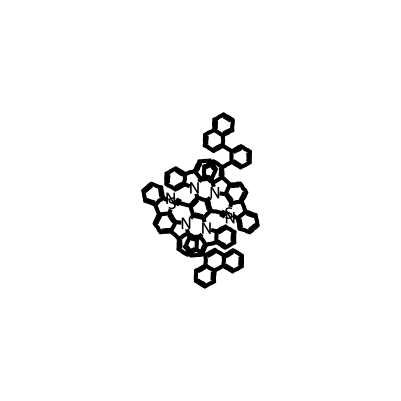 N#Cc1c(-n2c3ccccc3c3ccccc32)c(-n2c3cccc(-c4ccccc4-c4cccc5ccccc45)c3c3ccc4c5ccccc5sc4c32)c(C#N)c(-n2c3ccccc3c3ccccc32)c1-n1c2cc(-c3cc4ccccc4c4ccccc34)ccc2c2ccc3c4ccccc4sc3c21